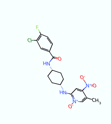 Cc1c[n+]([O-])c(N[C@H]2CC[C@@H](NC(=O)c3ccc(F)c(Cl)c3)CC2)cc1[N+](=O)[O-]